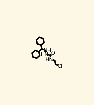 O=C(NCCCl)NNC(C1CCCCC1)C1CCCCC1